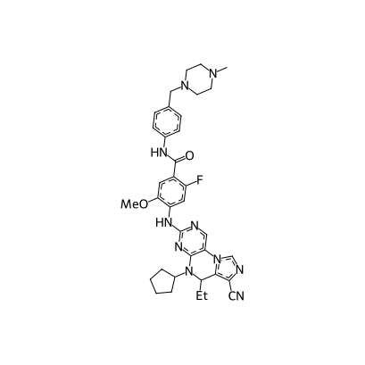 CCC1c2c(C#N)ncn2-c2cnc(Nc3cc(F)c(C(=O)Nc4ccc(CN5CCN(C)CC5)cc4)cc3OC)nc2N1C1CCCC1